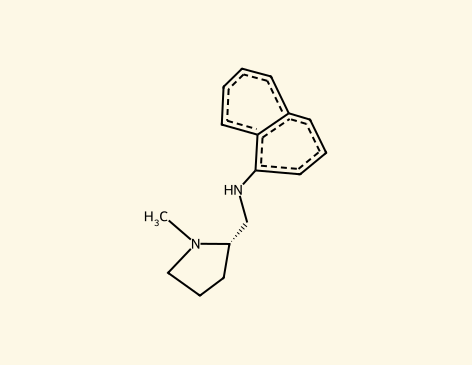 CN1CCC[C@H]1CNc1cccc2ccccc12